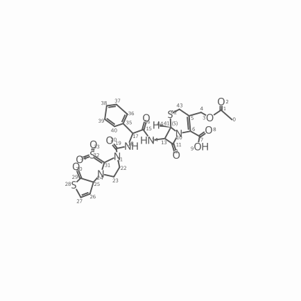 CC(=O)OCC1=C(C(=O)O)N2C(=O)C(NC(=O)C(NC(=O)N3CCN(C4C=CSC4=O)C3=S(=O)=O)c3ccccc3)[C@@H]2SC1